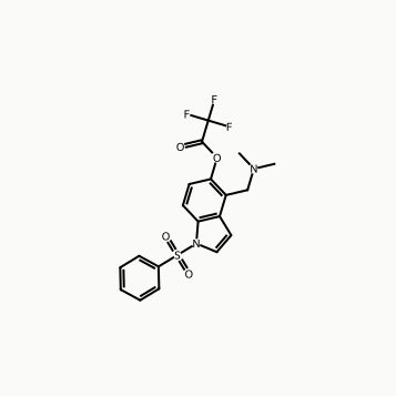 CN(C)Cc1c(OC(=O)C(F)(F)F)ccc2c1ccn2S(=O)(=O)c1ccccc1